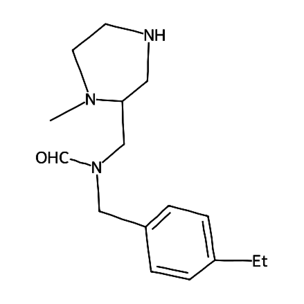 CCc1ccc(CN(C=O)CC2CNCCN2C)cc1